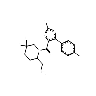 Cc1nc(C(=O)N2CC(F)(F)CCC2CN)c(-c2ccc(F)cc2)s1